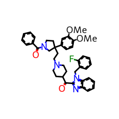 COc1ccc(C2(CCN3CCC(C(=O)c4nc5ccccc5n4Cc4ccccc4F)CC3)CCN(C(=O)c3ccccc3)C2)cc1OC